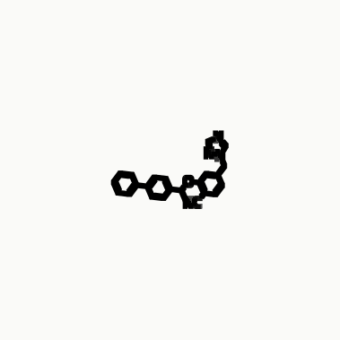 CC(Oc1cc(Cn2cncn2)ccc1C#N)c1ccc(-c2ccccc2)cc1